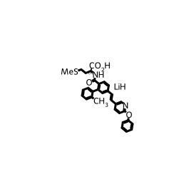 CSCC[C@H](NC(=O)c1ccc(C=Cc2ccc(Oc3ccccc3)nc2)cc1-c1ccccc1C)C(=O)O.[LiH]